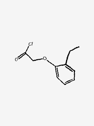 CCc1ccccc1OCC(=O)Cl